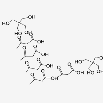 CC(=O)CC(=O)O.CC(=O)CC(=O)O.CC(=O)CC(=O)O.CC(=O)CC(=O)O.CC(=O)CC(=O)O.OCC(CO)(CO)CO.OCC(CO)(CO)CO